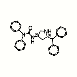 O=C(N[C@H]1CN[C@@H](C(c2ccccc2)c2ccccc2)C1)N(c1ccccc1)c1ccccc1